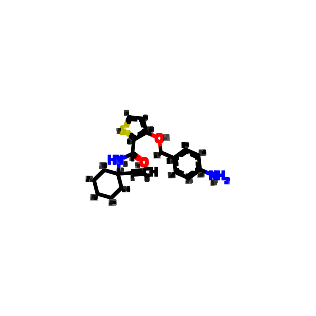 C#CC1(NC(=O)c2sccc2OCc2ccc(N)cc2)CCCCC1